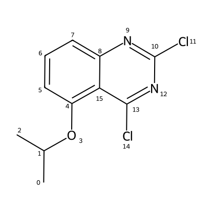 CC(C)Oc1cccc2nc(Cl)nc(Cl)c12